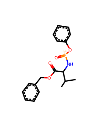 CC(C)C(N[PH](=O)Oc1ccccc1)C(=O)OCc1ccccc1